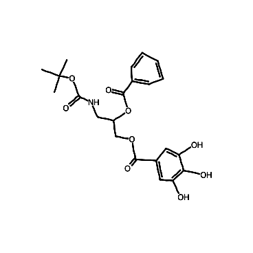 CC(C)(C)OC(=O)NCC(COC(=O)c1cc(O)c(O)c(O)c1)OC(=O)c1ccccc1